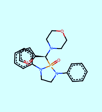 O=P1([C@@H](c2ccco2)N2CCOCC2)N(c2ccccc2)CCN1c1ccccc1